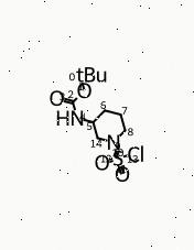 CC(C)(C)OC(=O)NC1CCCN(S(=O)(=O)Cl)C1